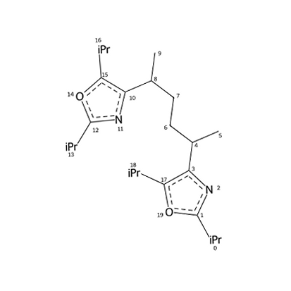 CC(C)c1nc(C(C)CCC(C)c2nc(C(C)C)oc2C(C)C)c(C(C)C)o1